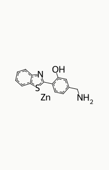 NCc1ccc(-c2nc3ccccc3s2)c(O)c1.[Zn]